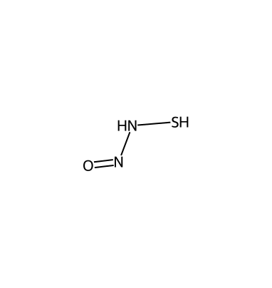 O=NNS